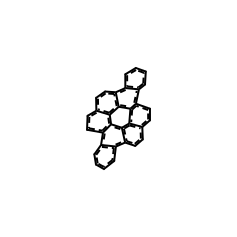 c1ccc2c(c1)c1ccc3ccc4c5ccccc5c5ccc6ccc2c2c6c5c4c3c12